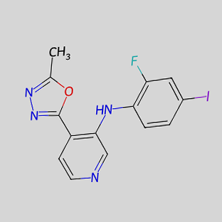 Cc1nnc(-c2ccncc2Nc2ccc(I)cc2F)o1